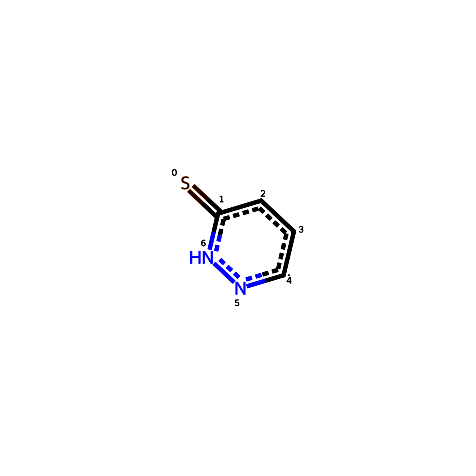 S=c1cc[c]n[nH]1